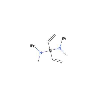 C=C[Si](C=C)(N(C)C(C)C)N(C)C(C)C